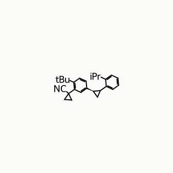 CC(C)c1ccccc1C1C[C@H]1c1ccc(C(C)(C)C)c(C2(C#N)CC2)c1